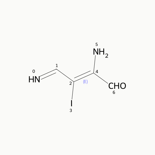 N=C/C(I)=C(\N)C=O